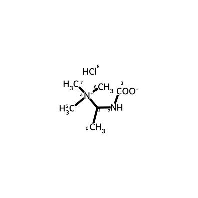 CC(NC(=O)[O-])[N+](C)(C)C.Cl